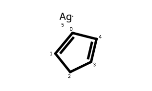 C1=CCC=C1.[Ag]